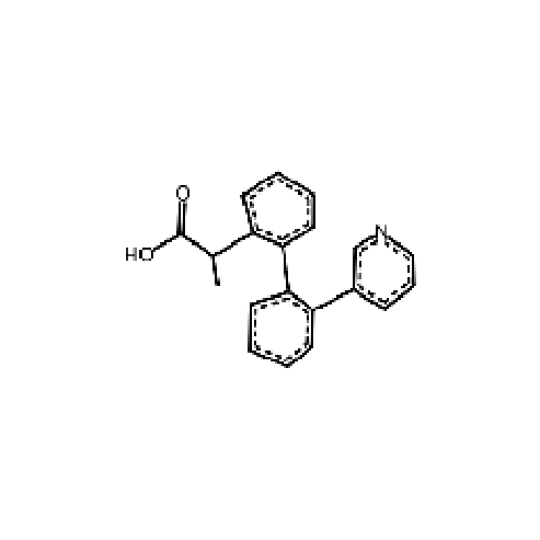 CC(C(=O)O)c1ccccc1-c1ccccc1-c1cccnc1